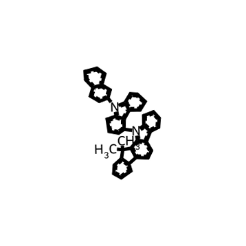 CC1(C)c2ccccc2-c2ccc3c4ccccc4n(-c4cccc5c4c4ccccc4n5-c4ccc5ccccc5c4)c3c21